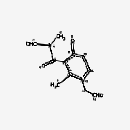 Cc1c(C(=O)N(C)C=O)c(=O)ccn1CC=O